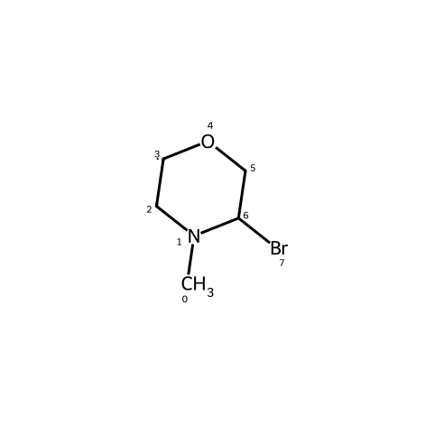 CN1C[CH]OCC1Br